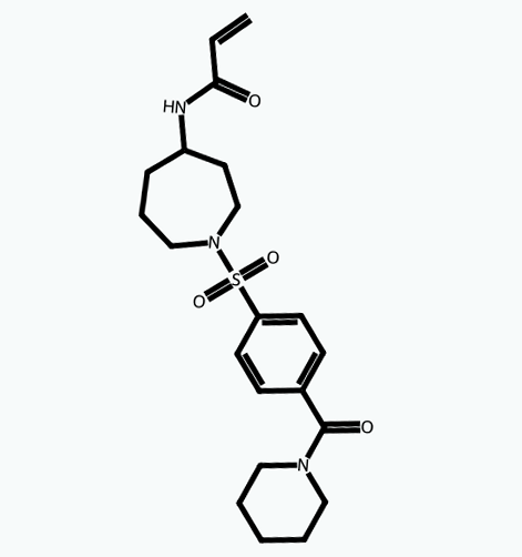 C=CC(=O)NC1CCCN(S(=O)(=O)c2ccc(C(=O)N3CCCCC3)cc2)CC1